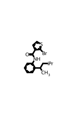 CC(C)CC(C)c1ccccc1NC(=O)c1ccsc1Br